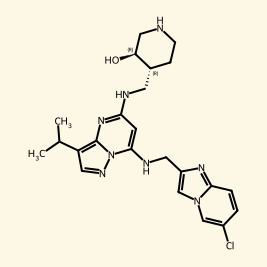 CC(C)c1cnn2c(NCc3cn4cc(Cl)ccc4n3)cc(NC[C@H]3CCNC[C@@H]3O)nc12